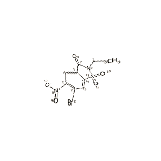 CCN1C(=O)c2cc([N+](=O)[O-])c(Br)cc2S1(=O)=O